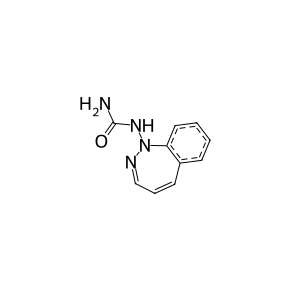 NC(=O)NN1N=CC=Cc2ccccc21